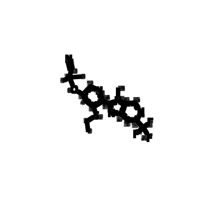 CCSc1cc(OC(C)(C)C#N)cnc1-c1nc2cc(C(F)(F)F)ncc2n1C